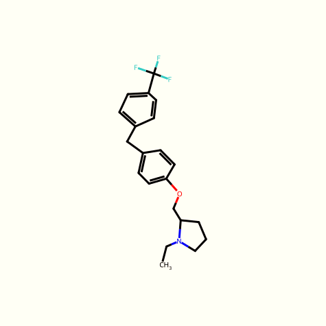 CCN1CCCC1COc1ccc(Cc2ccc(C(F)(F)F)cc2)cc1